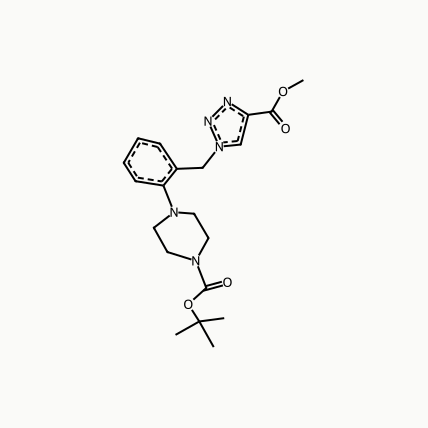 COC(=O)c1cn(Cc2ccccc2N2CCN(C(=O)OC(C)(C)C)CC2)nn1